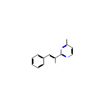 Cc1ccnc(C(Br)=Cc2ccccc2)n1